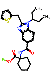 CCC(CC)n1c(Cc2cccs2)nc2cc(C(=O)NC3(C(=O)OF)CCCCC3)ccc21